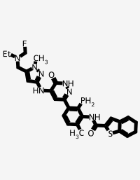 CCN(CF)Cc1cc(Nc2cc(-c3ccc(C)c(NC(=O)c4cc5c(s4)=CCCC=5)c3P)n[nH]c2=O)nn1C